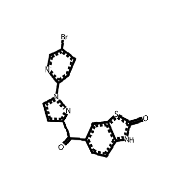 O=C(c1ccc2[nH]c(=O)sc2c1)c1ccn(-c2ccc(Br)cn2)n1